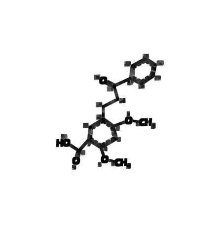 COc1cc(OC)c(C(=O)O)cc1CCC(=O)c1ccccc1